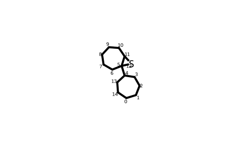 C1CCCC(C23CCCCCC2S3)CC1